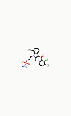 CCc1cccc2c(C(=O)c3cccc(Cl)c3Cl)c(C)n(CCCS(=O)(=O)N(C)C)c12